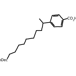 CCCCCCCCCCCCCCCCCCC(C)c1ccc(C(=O)O)cc1